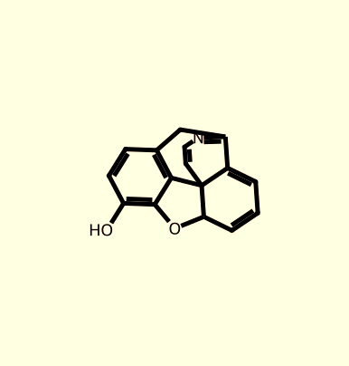 Oc1ccc2c3c1OC1C=CC=C4C(=NC=CC431)C2